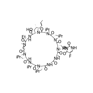 C/C=C/C[C@@H](C)[C@@H](O)[C@H]1C(=O)N[C@@H](CC)C(=O)N(C)CC(=O)N(C)[C@@H](CC(C)C)C(=O)N[C@@H](C(C)C)C(=O)N(C)[C@@H](CC(C)C)C(=O)N[C@@H](C)C(=O)N[C@H](C)C(=O)N(C)[C@@H](CC(C)C)C(=O)N(C)[C@@H](CC(C)C)C(=O)N(C)[C@@H](C(C)C)C(=O)N1C.O=c1[nH]cc(F)c(=O)[nH]1